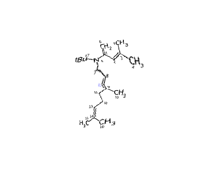 C=C(C=C(C)C)N(C/C=C(/C)CCC=C(C)C)C(C)(C)C